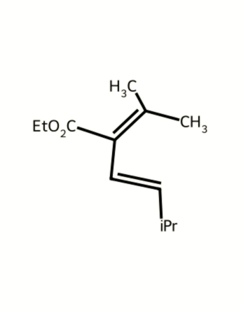 CCOC(=O)C(C=CC(C)C)=C(C)C